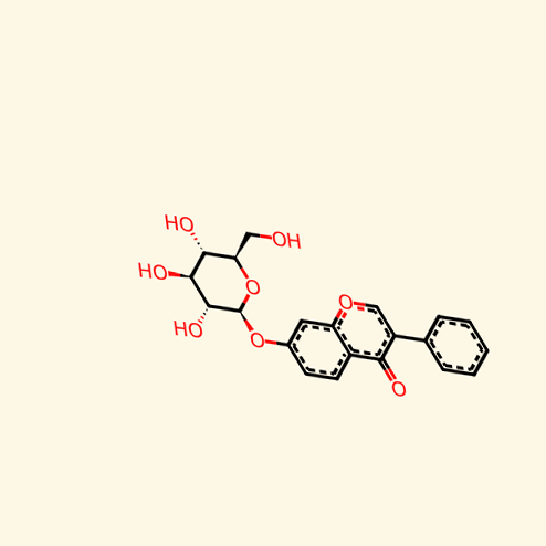 O=c1c(-c2ccccc2)coc2cc(O[C@@H]3O[C@H](CO)[C@@H](O)[C@H](O)[C@H]3O)ccc12